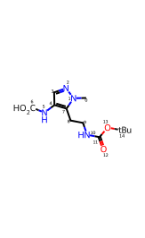 Cn1ncc(NC(=O)O)c1CCNC(=O)OC(C)(C)C